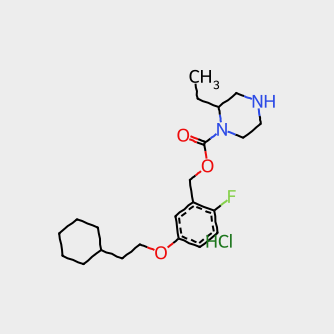 CCC1CNCCN1C(=O)OCc1cc(OCCC2CCCCC2)ccc1F.Cl